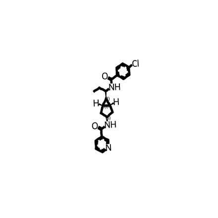 CCC(NC(=O)c1ccc(Cl)cc1)[C@H]1[C@@H]2C[C@@H](NC(=O)c3cccnc3)C[C@@H]21